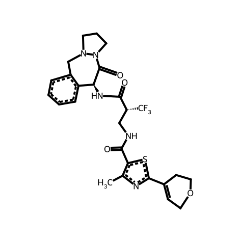 Cc1nc(C2=CCOCC2)sc1C(=O)NC[C@H](C(=O)N[C@@H]1C(=O)N2CCCN2Cc2ccccc21)C(F)(F)F